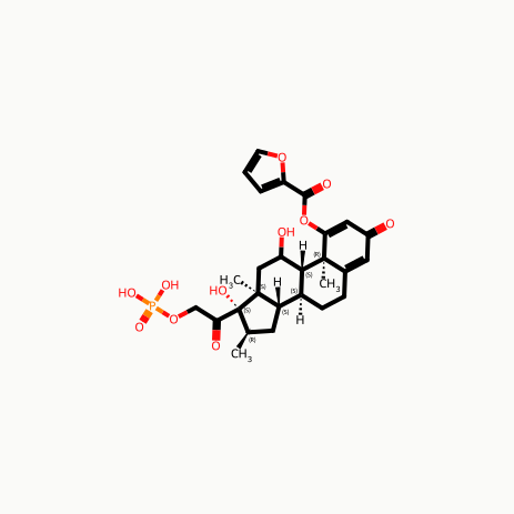 C[C@@H]1C[C@H]2[C@@H]3CCC4=CC(=O)C=C(OC(=O)c5ccco5)[C@]4(C)[C@H]3C(O)C[C@]2(C)[C@]1(O)C(=O)COP(=O)(O)O